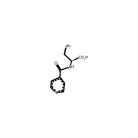 CC(C)C[C@H](NC(=O)c1ccncc1)C(=O)O